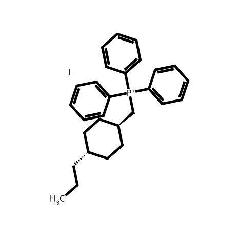 CCC[C@H]1CC[C@H](C[P+](c2ccccc2)(c2ccccc2)c2ccccc2)CC1.[I-]